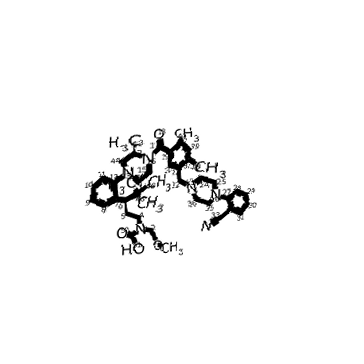 COCN(CC[C@@H](c1ccccc1N1CCN(C(=O)c2cc(CN3CCN(c4ccccc4C#N)CC3)c(C)cc2C)[C@@H](C)C1)C(C)(C)C)C(=O)O